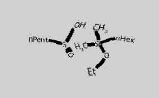 CCCCCC[Si](C)(C)OCC.CCCCCS(=O)O